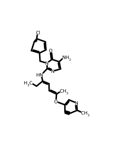 CC/C(=C\C=C(/C)Oc1c#cc(C)nc1)Nc1ncc(N)c(=O)n1Cc1ccc(Cl)cc1